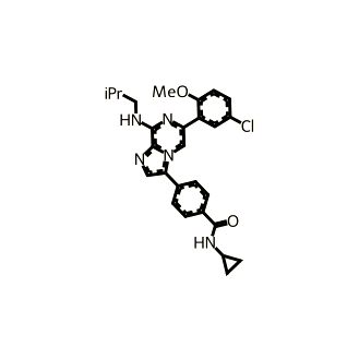 COc1ccc(Cl)cc1-c1cn2c(-c3ccc(C(=O)NC4CC4)cc3)cnc2c(NCC(C)C)n1